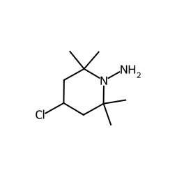 CC1(C)CC(Cl)CC(C)(C)N1N